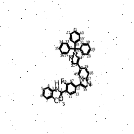 O=C(Nc1ccccc1C(F)(F)F)c1ccc(-c2cnc3ccc(-c4cnn(C(c5ccccc5)(c5ccccc5)c5ccccc5)c4)cn23)cc1F